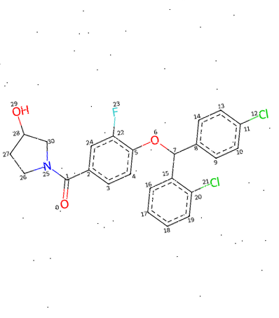 O=C(c1ccc(OC(c2ccc(Cl)cc2)c2ccccc2Cl)c(F)c1)N1CCC(O)C1